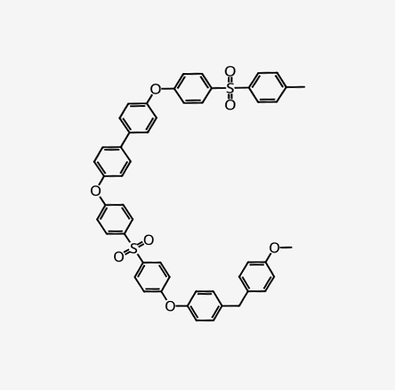 COc1ccc(Cc2ccc(Oc3ccc(S(=O)(=O)c4ccc(Oc5ccc(-c6ccc(Oc7ccc(S(=O)(=O)c8ccc(C)cc8)cc7)cc6)cc5)cc4)cc3)cc2)cc1